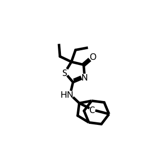 CCC1(CC)SC(NC23CC4CC(CC2C4)C3)=NC1=O